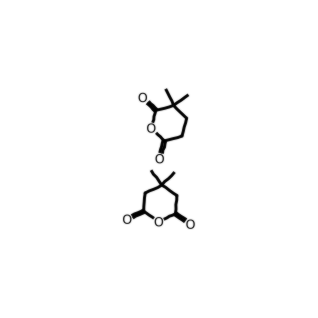 CC1(C)CC(=O)OC(=O)C1.CC1(C)CCC(=O)OC1=O